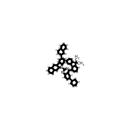 CC1(C)c2ccccc2-c2c(-c3nc(-n4c5ccc(-c6ccc7ccccc7c6)cc5c5cc6ccccc6cc54)nc4ccc(-c5ccccc5)cc34)cccc21